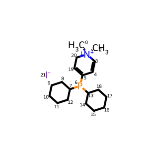 C[N+]1(C)C=CC(P(C2CCCCC2)C2CCCCC2)=CC1.[I-]